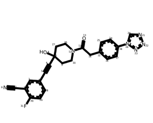 N#Cc1cc(C#CC2(O)CCN(C(=O)Cc3ccc(-n4cnnn4)cc3)CC2)ccc1F